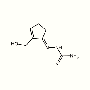 NC(=S)NN=C1CCC=C1CO